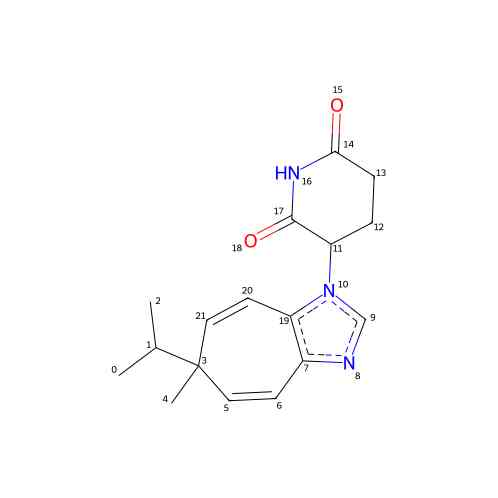 CC(C)C1(C)C=Cc2ncn(C3CCC(=O)NC3=O)c2C=C1